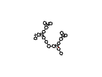 CC1(C)c2ccccc2-c2cc(N(c3ccc(-c4ccc(-c5cccc(-c6ccc(N(c7ccc(-c8ccccc8)cc7)c7ccc(-c8ccc(-n9c%10ccccc%10c%10ccccc%109)cc8)cc7)cc6)c5)cc4)cc3)c3ccc(-c4ccc5c(c4)c4ccccc4n5-c4ccccc4)cc3)ccc21